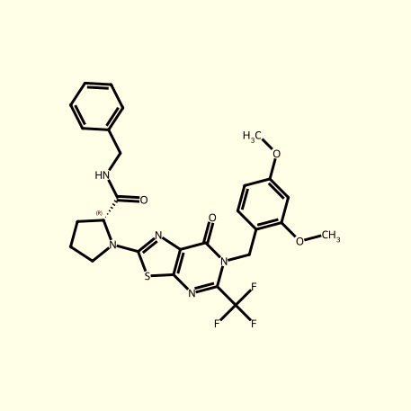 COc1ccc(Cn2c(C(F)(F)F)nc3sc(N4CCC[C@@H]4C(=O)NCc4ccccc4)nc3c2=O)c(OC)c1